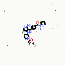 C=CC(=O)N1CCC[C@@H](n2nc(-c3ccc(C(=O)Nc4ncccc4F)cc3)c3c(N)ncc(Cl)c32)C1